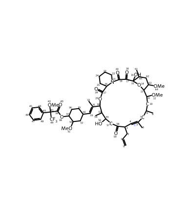 C=CCC1/C=C(\C)CC(C)CC(OC)C2OC(O)(C(=O)C(=O)N3CCCCC3C(=O)OC(C(C)=CC3CCC(OC(=O)C(OC)(c4ccccc4)C(F)(F)F)C(OC)C3)C(C)C(O)CC1=O)C(C)CC2OC